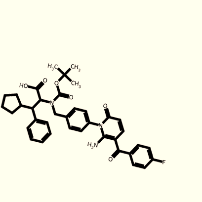 CC(C)(C)OC(=O)N(Cc1ccc(-n2c(N)c(C(=O)c3ccc(F)cc3)ccc2=O)cc1)C(C(=O)O)C(c1ccccc1)C1CCCC1